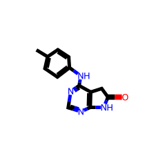 Cc1ccc(Nc2ncnc3c2CC(=O)N3)cc1